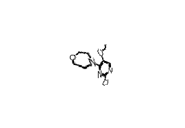 CCOc1cnc(Cl)nc1N1CCOCC1